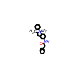 CCC[N+]1(c2ccccc2)C(C)=Cc2cc(NC(=O)CC3CC4CCC3C4)ccc21